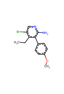 CCc1c(Br)cnc(N)c1-c1ccc(OC)cc1